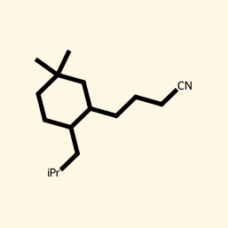 CC(C)CC1CCC(C)(C)CC1CCCC#N